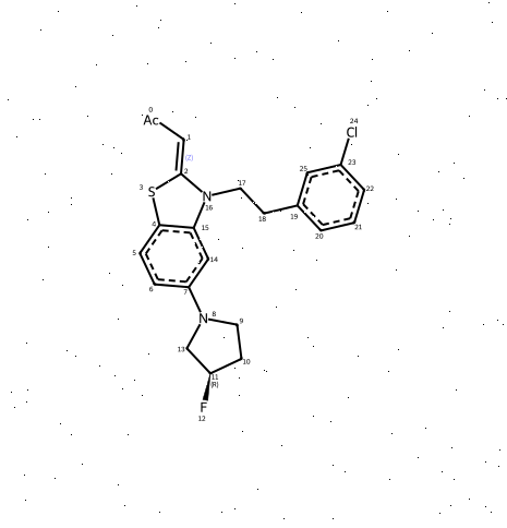 CC(=O)/C=C1\Sc2ccc(N3CC[C@@H](F)C3)cc2N1CCc1cccc(Cl)c1